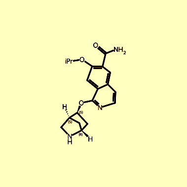 CC(C)Oc1cc2c(O[C@H]3C[C@H]4C[C@H]3CN4)nccc2cc1C(N)=O